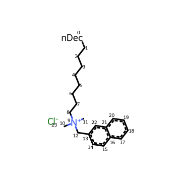 CCCCCCCCCCCCCCCCCC[N+](C)(C)Cc1ccc2ccccc2c1.[Cl-]